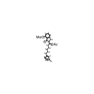 COc1cccc2c1C(=O)C(C(CCCCCc1cn(C)nn1)OC(C)=O)C2